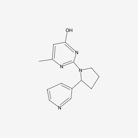 Cc1cc(O)nc(N2CCCC2c2cccnc2)n1